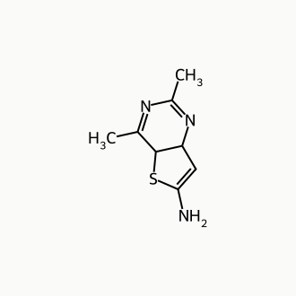 CC1=NC2C=C(N)SC2C(C)=N1